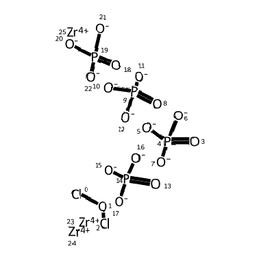 ClOCl.O=P([O-])([O-])[O-].O=P([O-])([O-])[O-].O=P([O-])([O-])[O-].O=P([O-])([O-])[O-].[Zr+4].[Zr+4].[Zr+4]